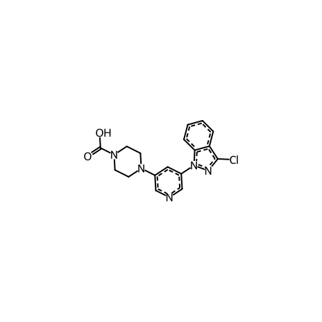 O=C(O)N1CCN(c2cncc(-n3nc(Cl)c4ccccc43)c2)CC1